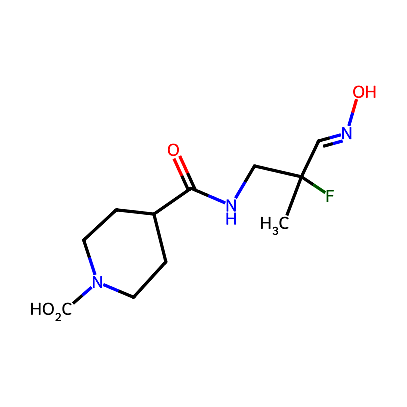 CC(F)(C=NO)CNC(=O)C1CCN(C(=O)O)CC1